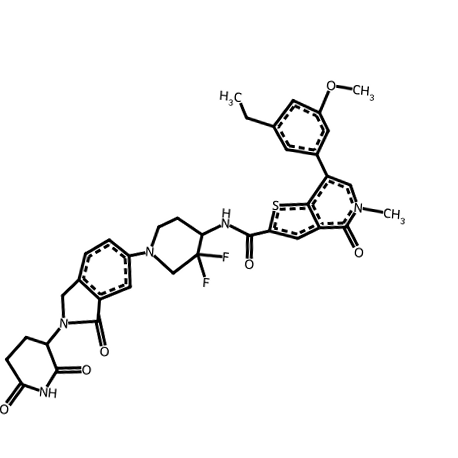 CCc1cc(OC)cc(-c2cn(C)c(=O)c3cc(C(=O)NC4CCN(c5ccc6c(c5)C(=O)N(C5CCC(=O)NC5=O)C6)CC4(F)F)sc23)c1